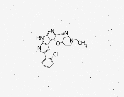 CCN1CCC(Oc2c(C#N)ncc3[nH]c4ncc(-c5ccccc5Cl)cc4c23)CC1